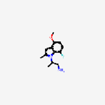 COc1ccc(F)c2c1cc(C)n2C(C)CN